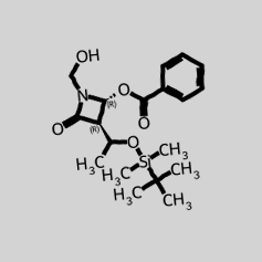 CC(O[Si](C)(C)C(C)(C)C)[C@H]1C(=O)N(CO)[C@@H]1OC(=O)c1ccccc1